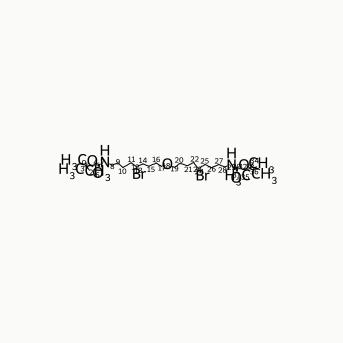 CC(C)(C)OC(=O)NCCCCC(Br)CCCCOCCCCC(Br)CCCCNC(=O)OC(C)(C)C